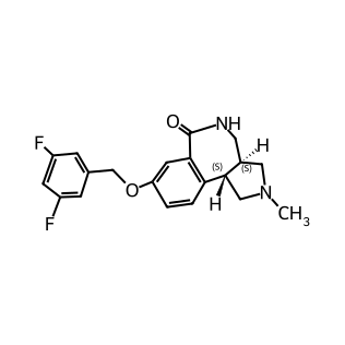 CN1C[C@@H]2CNC(=O)c3cc(OCc4cc(F)cc(F)c4)ccc3[C@H]2C1